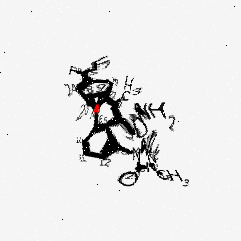 C/C(=C(\ON)c1c(C2CC2)cccc1-n1nnn(C)c1=O)c1cccc(C(F)F)c1